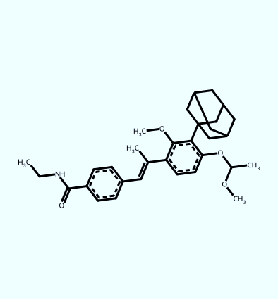 CCNC(=O)c1ccc(C=C(C)c2ccc(OC(C)OC)c(C34CC5CC(CC(C5)C3)C4)c2OC)cc1